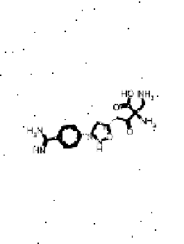 N=C(N)c1ccc([C@@H]2C[C@H](CC(=O)C(N)(CN)C(=O)O)ON2)cc1